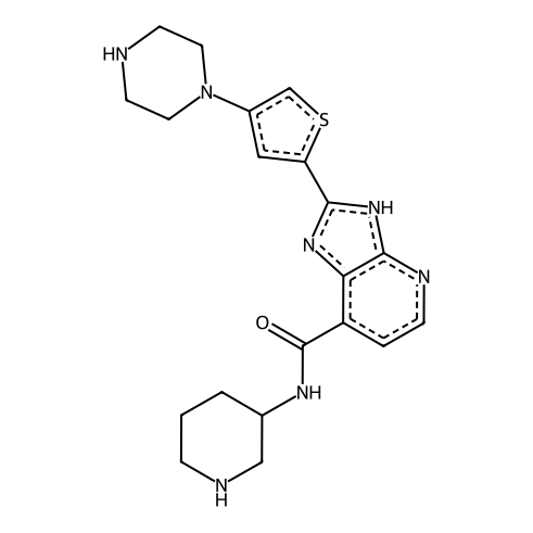 O=C(NC1CCCNC1)c1ccnc2[nH]c(-c3cc(N4CCNCC4)cs3)nc12